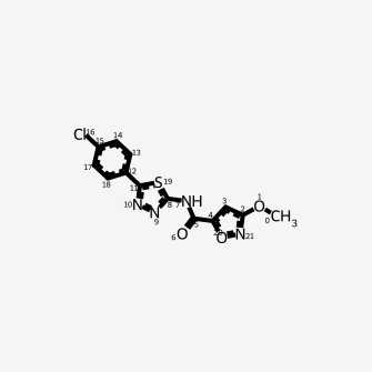 COc1cc(C(=O)Nc2nnc(-c3ccc(Cl)cc3)s2)on1